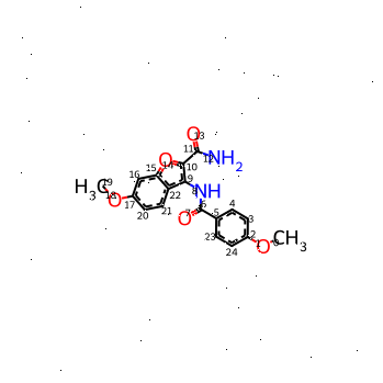 COc1ccc(C(=O)Nc2c(C(N)=O)oc3cc(OC)ccc23)cc1